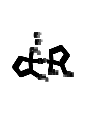 CCCCC1=CC=C[C]1(CCCC)[Zr+2][C]1(C)C=CC=C1C.[Cl-].[Cl-]